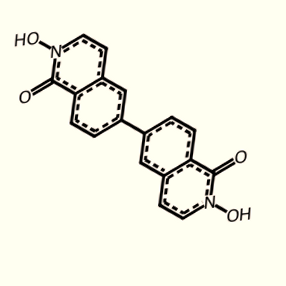 O=c1c2ccc(-c3ccc4c(=O)n(O)ccc4c3)cc2ccn1O